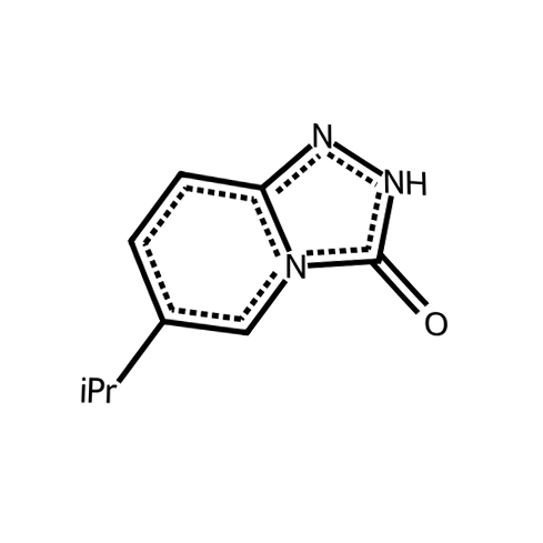 CC(C)c1ccc2n[nH]c(=O)n2c1